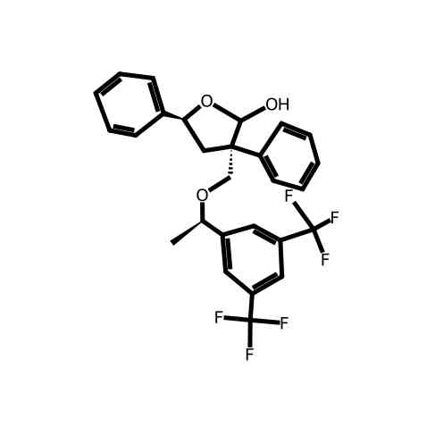 C[C@@H](OC[C@]1(c2ccccc2)C[C@@H](c2ccccc2)OC1O)c1cc(C(F)(F)F)cc(C(F)(F)F)c1